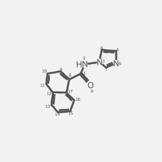 O=C(Nn1ccnc1)c1cccc2ccccc12